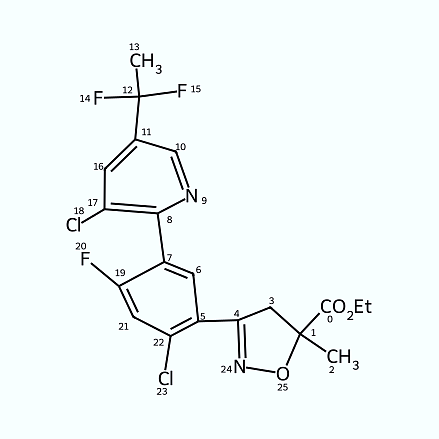 CCOC(=O)C1(C)CC(c2cc(-c3ncc(C(C)(F)F)cc3Cl)c(F)cc2Cl)=NO1